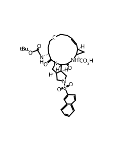 CC(C)(C)OC(=O)N[C@@H]1CCCCC/C=C\[C@H]2C[C@@]2(C(=O)O)NC(=O)[C@@H]2[C@H]3CN(S(=O)(=O)c4ccc5ccccc5c4)C[C@H]3CN2C1=O